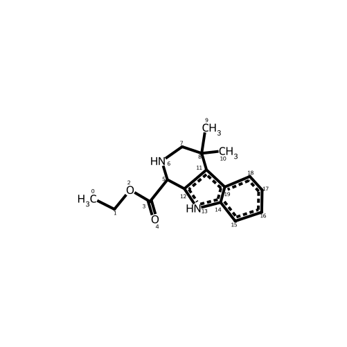 CCOC(=O)C1NCC(C)(C)c2c1[nH]c1ccccc21